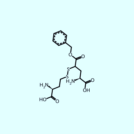 N[C@@H](CCSSC(C[C@H](N)C(=O)O)C(=O)OCc1ccccc1)C(=O)O